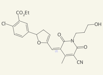 CCOC(=O)c1cc(C2CC=C(/C=C3\C(=O)N(CCCO)C(=O)C(C#N)=C3C)O2)ccc1Cl